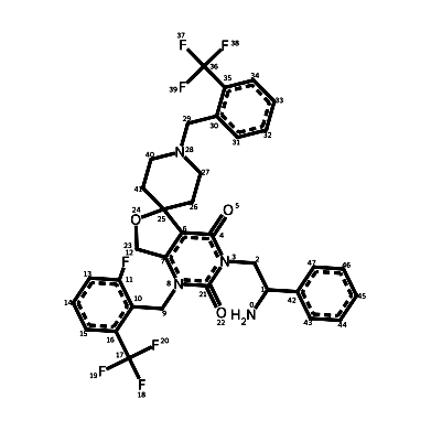 NC(Cn1c(=O)c2c(n(Cc3c(F)cccc3C(F)(F)F)c1=O)COC21CCN(Cc2ccccc2C(F)(F)F)CC1)c1ccccc1